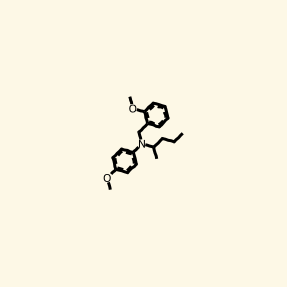 CCCC(C)N(Cc1ccccc1OC)c1ccc(OC)cc1